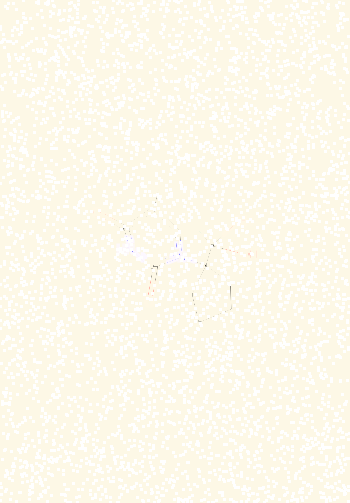 Cc1cn(C2(C(O)(O)F)CCCC2)c(=O)[nH]c1=O